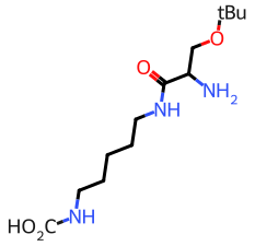 CC(C)(C)OCC(N)C(=O)NCCCCCNC(=O)O